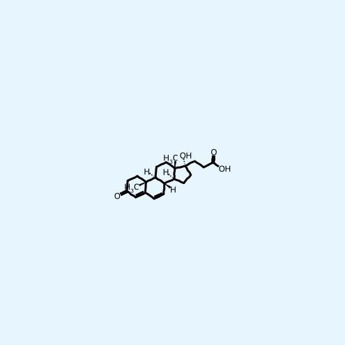 C[C@]12CCC(=O)C=C1C=C[C@@H]1[C@@H]2CC[C@@]2(C)[C@H]1CC[C@]2(O)CCC(=O)O